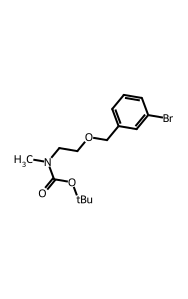 CN(CCOCc1cccc(Br)c1)C(=O)OC(C)(C)C